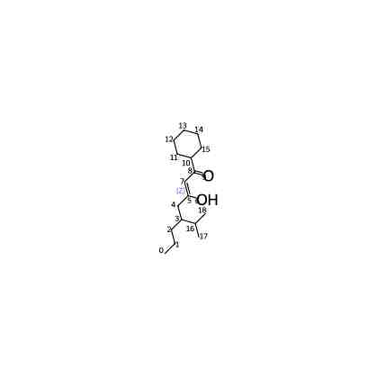 CCCC(C/C(O)=C/C(=O)C1CCCCC1)C(C)C